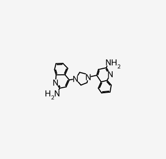 Nc1cc(N2CCN(c3cc(N)nc4ccccc34)CC2)c2ccccc2n1